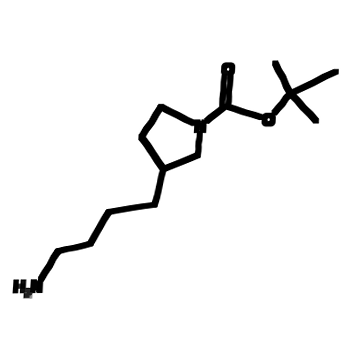 CC(C)(C)OC(=O)N1CCC(CCCCN)C1